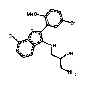 COc1ccc(Br)cc1-c1sc2c(Cl)cccc2c1NCC(O)CN